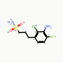 Nc1c(F)ccc(CCCS(N)(=O)=O)c1Cl